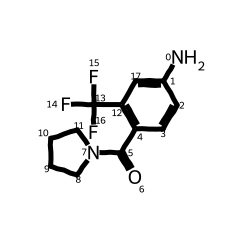 Nc1ccc(C(=O)N2CCCC2)c(C(F)(F)F)c1